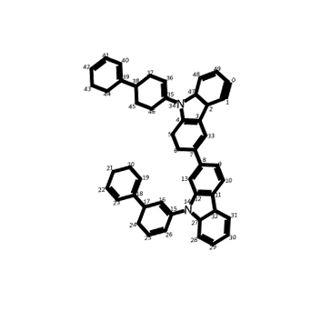 C1#CC2C3=C(CCC(c4ccc5c(c4)N(C4=CC(C6=CCCC=C6)CC=C4)C4C=CC=CC54)=C3)N(C3=CCC(C4=CC=CCC4)CC3)C2C=C1